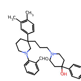 Cc1ccc(C2(CCCN3CCC(O)(c4ccccc4)CC3)CCCN(c3ccccc3C=O)C2)cc1C